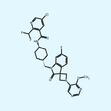 COc1ncncc1N1CC2(C1)C(=O)N(C[C@H]1CC[C@H](NC(=O)c3cc(Cl)cnc3C(F)F)CC1)c1cc(F)ccc12